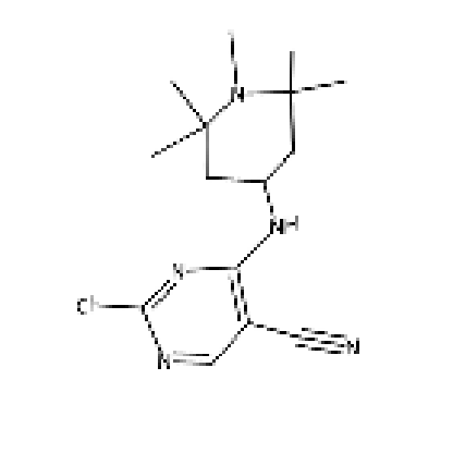 CN1C(C)(C)CC(Nc2nc(Cl)ncc2C#N)CC1(C)C